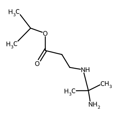 CC(C)OC(=O)CCNC(C)(C)N